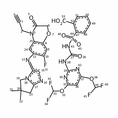 C#CCN1C(=O)COc2cc(F)c(/N=c3\snc4n3CC(C)(C)C4)cc21.O=C(Nc1nc(OC(F)F)cc(OC(F)F)n1)NS(=O)(=O)c1ccccc1C(=O)O